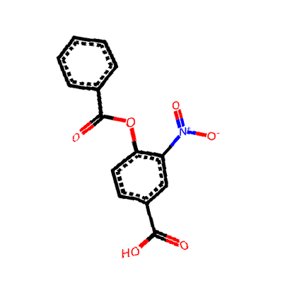 O=C(O)c1ccc(OC(=O)c2ccccc2)c([N+](=O)[O-])c1